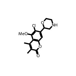 COc1c(Cl)c(C2CNCCO2)cc2oc(=O)c(C)c(C)c12